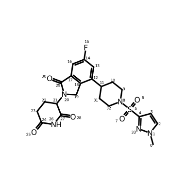 Cn1ccc(S(=O)(=O)N2CCC(c3cc(F)cc4c3CN(C3CCC(=O)NC3=O)C4=O)CC2)n1